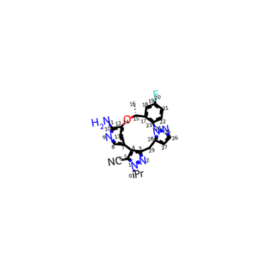 CC(C)n1nc2c(c1C#N)-c1cnc(N)c(c1)O[C@H](C)c1cc(F)ccc1-n1nccc1C2